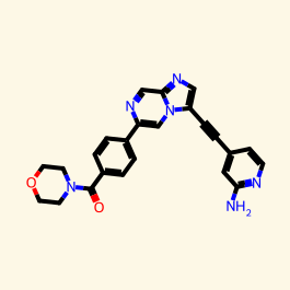 Nc1cc(C#Cc2cnc3cnc(-c4ccc(C(=O)N5CCOCC5)cc4)cn23)ccn1